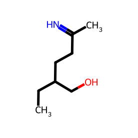 CCC(CO)CCC(C)=N